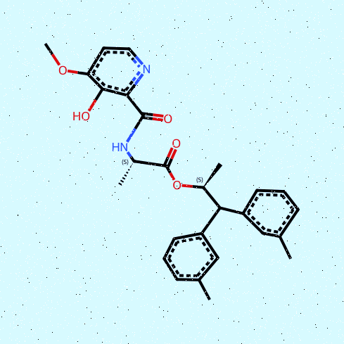 COc1ccnc(C(=O)N[C@@H](C)C(=O)O[C@@H](C)C(c2cccc(C)c2)c2cccc(C)c2)c1O